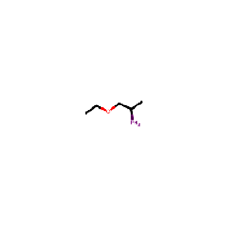 CCOCC(C)P